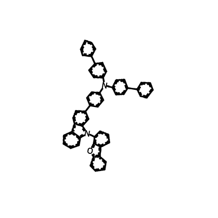 c1ccc(-c2ccc(N(c3ccc(-c4ccccc4)cc3)c3ccc(-c4ccc5c6ccccc6n(-c6cccc7c6oc6ccccc67)c5c4)cc3)cc2)cc1